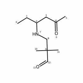 CCC(CC(C)=O)NCC(C)(C)C=O